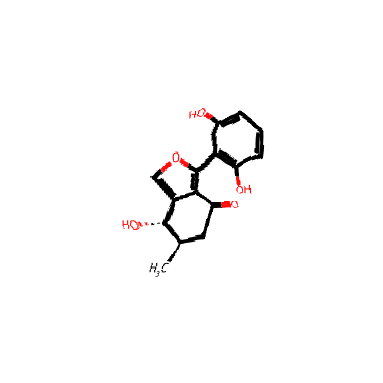 C[C@@H]1CC(=O)c2c(coc2-c2c(O)cccc2O)[C@H]1O